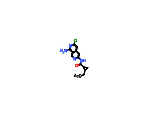 CC(=O)OCC1CC1C(=O)Nc1cc2cc(Cl)nc(N)c2cn1